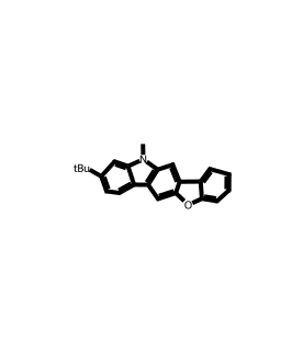 Cn1c2cc(C(C)(C)C)ccc2c2cc3oc4ccccc4c3cc21